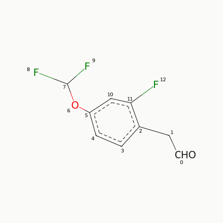 O=CCc1ccc(OC(F)F)cc1F